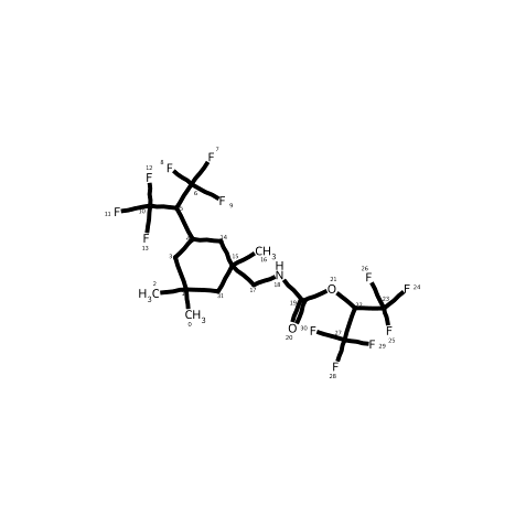 CC1(C)C[C](C(C(F)(F)F)C(F)(F)F)CC(C)(CNC(=O)OC(C(F)(F)F)C(F)(F)F)C1